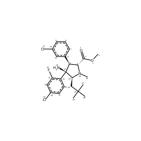 COC(=O)[C@H]1[C@H](c2cccc(Cl)c2)[C@@](N)(c2ccc(Cl)cc2F)[C@H](CC(C)(C)C)N1C